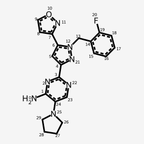 Nc1nc(-c2cc(-c3ccon3)n(Cc3ccccc3F)n2)ncc1N1CCCC1